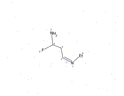 CC/N=C\CC(N)F